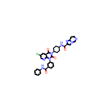 O=C(Nc1ccccc1)c1cccc(-n2c(=O)n(C3CCC(NC(=O)c4cn5cnccc5n4)CC3)c(=O)c3cc(F)cnc32)c1